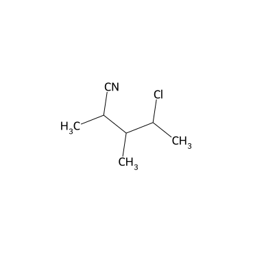 CC(Cl)C(C)C(C)C#N